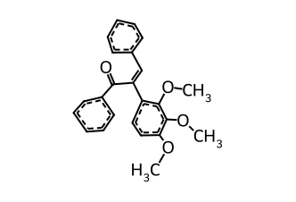 COc1ccc(C(=Cc2ccccc2)C(=O)c2ccccc2)c(OC)c1OC